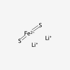 [Li+].[Li+].[S]=[Fe-2]=[S]